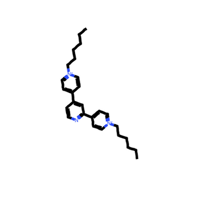 CCCCCC[n+]1ccc(-c2ccnc(-c3cc[n+](CCCCCC)cc3)c2)cc1